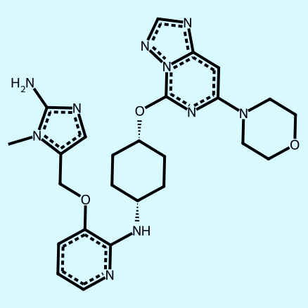 Cn1c(COc2cccnc2N[C@H]2CC[C@@H](Oc3nc(N4CCOCC4)cc4ncnn34)CC2)cnc1N